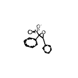 O=[N+]([O-])C1(c2ccccc2)OC1c1ccccc1